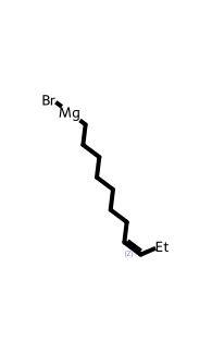 CC/C=C\CCCCCC[CH2][Mg][Br]